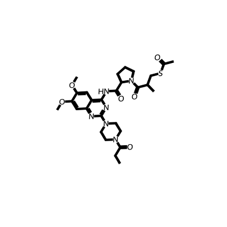 CCC(=O)N1CCN(c2nc(NC(=O)C3CCCN3C(=O)C(C)CSC(C)=O)c3cc(OC)c(OC)cc3n2)CC1